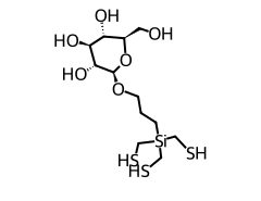 OC[C@H]1O[C@@H](OCCC[Si](CS)(CS)CS)[C@H](O)[C@@H](O)[C@@H]1O